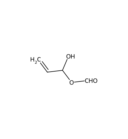 C=CC(O)OC=O